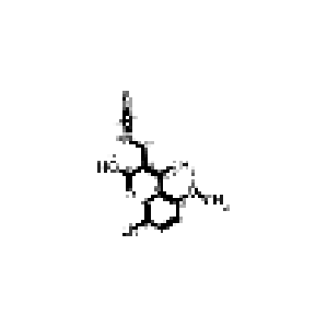 COc1ccc(Cl)cc1C(C)=C(CN=[N+]=[N-])C(=O)O